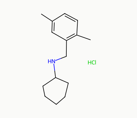 Cc1ccc(C)c(CNC2CCCCC2)c1.Cl